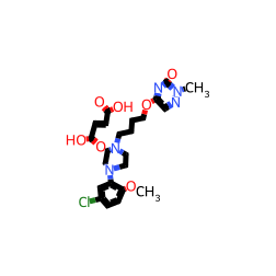 COc1ccc(Cl)cc1N1CCN(CCCCOc2cnn(C)c(=O)n2)CC1.O=C(O)/C=C/C(=O)O